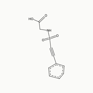 O=C(O)CNS(=O)(=O)C#Cc1ccccc1